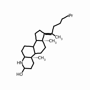 C/C(CCCC(C)C)=C1/CCC2C3CCC4NC(O)CC[C@]4(C)C3CC[C@]12C